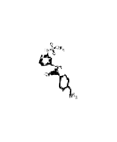 CS(=O)(=O)Nc1cc(NC(=O)C2CCC(CN)CC2)ccn1